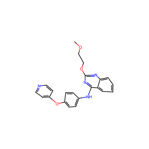 COCCOc1nc(Nc2ccc(Oc3ccncc3)cc2)c2ccccc2n1